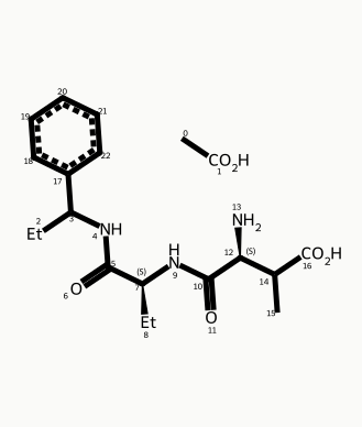 CC(=O)O.CCC(NC(=O)[C@H](CC)NC(=O)[C@@H](N)C(C)C(=O)O)c1ccccc1